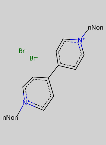 CCCCCCCCC[n+]1ccc(-c2cc[n+](CCCCCCCCC)cc2)cc1.[Br-].[Br-]